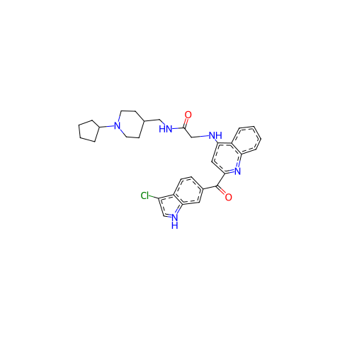 O=C(CNc1cc(C(=O)c2ccc3c(Cl)c[nH]c3c2)nc2ccccc12)NCC1CCN(C2CCCC2)CC1